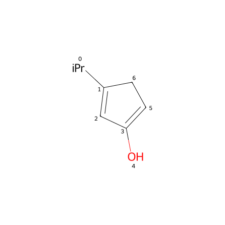 CC(C)C1=CC(O)=CC1